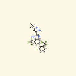 Cn1nc(C(C)(C)C)cc1-c1nc2cc(-c3c(F)cccc3C(F)(F)F)cc(C(F)(F)F)c2[nH]1